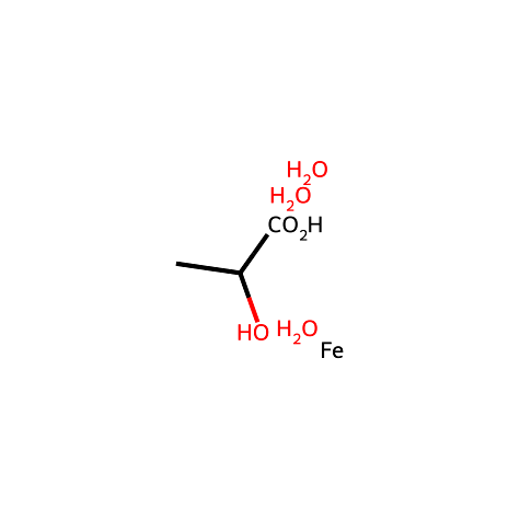 CC(O)C(=O)O.O.O.O.[Fe]